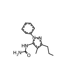 CCCc1nn(-c2ccccc2)c(NC(N)=O)c1C